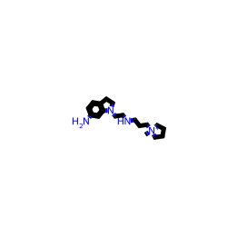 C[N+]1(CCCNCCN2CCc3ccc(N)cc32)CCCC1